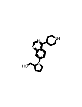 OCC1CCCN1c1ccc2c(C3CCNCC3)ncnc2c1